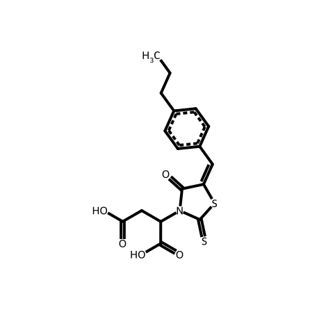 CCCc1ccc(C=C2SC(=S)N(C(CC(=O)O)C(=O)O)C2=O)cc1